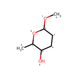 COC1CCC(O)C(C)O1